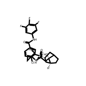 O=C(C[C@@]1(O)C2CC[C@H]1C[C@H](S(=O)(=O)c1cc(C(=O)Nc3cc(F)c(F)c(F)c3)ccc1Cl)C2)NC1(CO)CC1